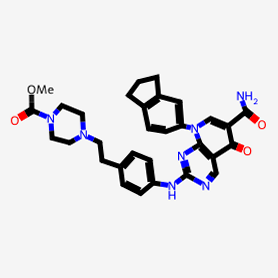 COC(=O)N1CCN(CCc2ccc(Nc3ncc4c(=O)c(C(N)=O)cn(-c5ccc6c(c5)CCC6)c4n3)cc2)CC1